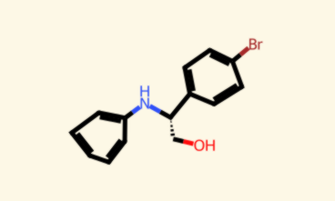 OC[C@H](Nc1ccccc1)c1ccc(Br)cc1